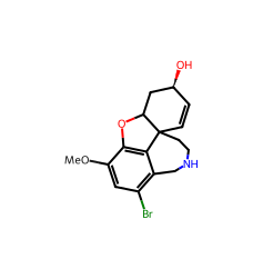 COc1cc(Br)c2c3c1OC1C[C@@H](O)C=CC31CCNC2